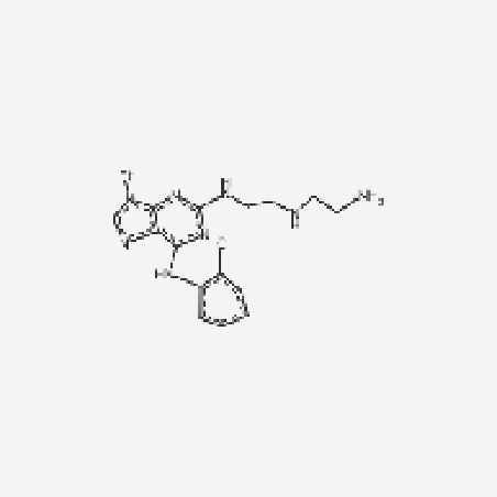 CCn1cnc2c(Nc3ccccc3Cl)nc(NCCNCCN)nc21